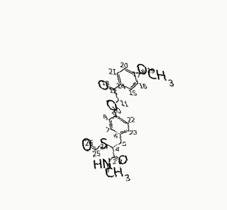 CNC(=O)C(Cc1ccc(OCC(=O)c2ccc(OC)cc2)cc1)SC=O